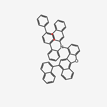 c1ccc(-c2ccc(-c3ccccc3N(c3ccc4ccccc4c3)c3cccc4oc5c6ccccc6c(-c6cccc7ccccc67)cc5c34)cc2)cc1